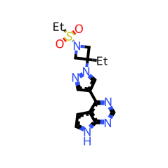 CCC1(n2cc(-c3ncnc4[nH]ccc34)cn2)CN(S(=O)(=O)CC)C1